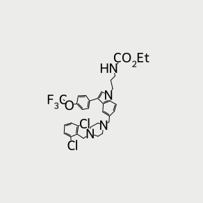 CCOC(=O)CNCCCn1cc(-c2ccc(OC(F)(F)F)cc2)c2cc(CN3CCN(Cc4c(Cl)cccc4Cl)CC3)ccc21